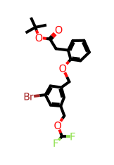 CC(C)(C)OC(=O)Cc1ccccc1OCc1cc(Br)cc(COC(F)F)c1